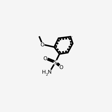 COc1c[c]ccc1S(N)(=O)=O